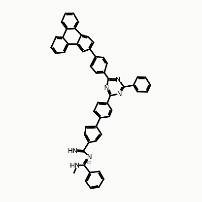 CN/C(=N\C(=N)c1ccc(-c2ccc(-c3nc(-c4ccccc4)nc(-c4ccc(-c5ccc6c7ccccc7c7ccccc7c6c5)cc4)n3)cc2)cc1)c1ccccc1